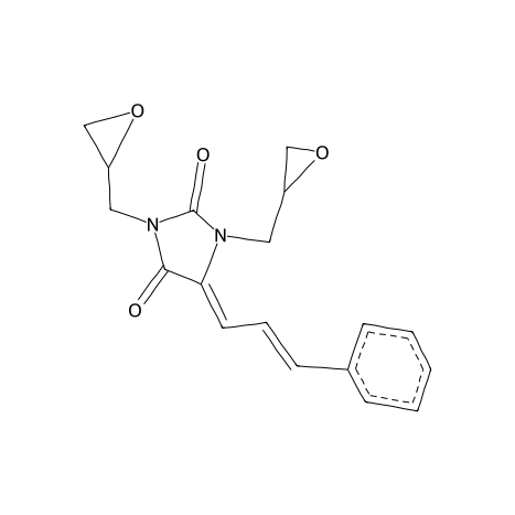 O=C1C(=CC=Cc2ccccc2)N(CC2CO2)C(=O)N1CC1CO1